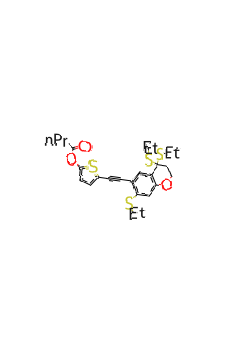 CCCC(=O)Oc1ccc(C#Cc2cc3c(cc2SCC)OCCC3(SCC)SCC)s1